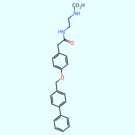 O=C(O)NCCNC(=O)Cc1ccc(OCc2ccc(-c3ccccc3)cc2)cc1